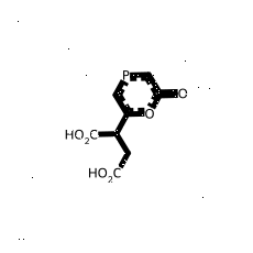 O=C(O)CC(C(=O)O)c1cpcc(=O)o1